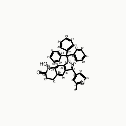 Cc1cc(-c2nn(C(c3ccccc3)(c3ccccc3)c3ccccc3)c3cc4c(cc23)CCC(=O)N4O)ccn1